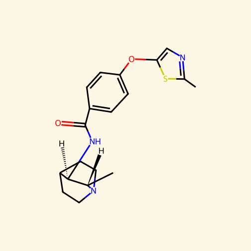 Cc1ncc(Oc2ccc(C(=O)N[C@@H]3C4CCN(CC4)[C@H]3C)cc2)s1